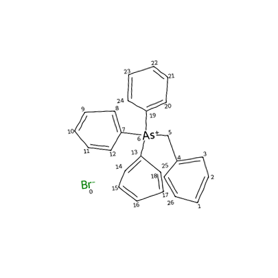 [Br-].c1ccc(C[As+](c2ccccc2)(c2ccccc2)c2ccccc2)cc1